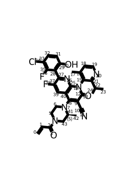 C=CC(=O)N1CCN(c2c(C#N)c(=O)n(-c3c(C)ccnc3C(C)C)c3nc(-c4c(O)ccc(Cl)c4F)c(F)cc23)[C@@H](C)C1